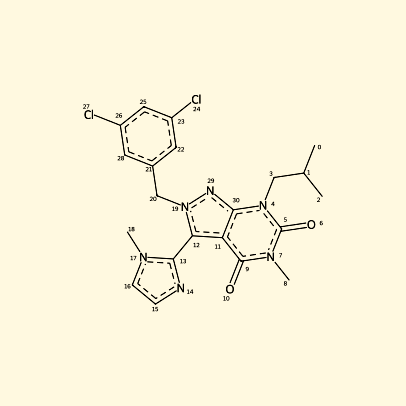 CC(C)Cn1c(=O)n(C)c(=O)c2c(-c3nccn3C)n(Cc3cc(Cl)cc(Cl)c3)nc21